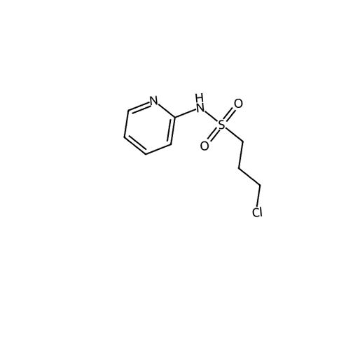 O=S(=O)(CCCCl)Nc1ccccn1